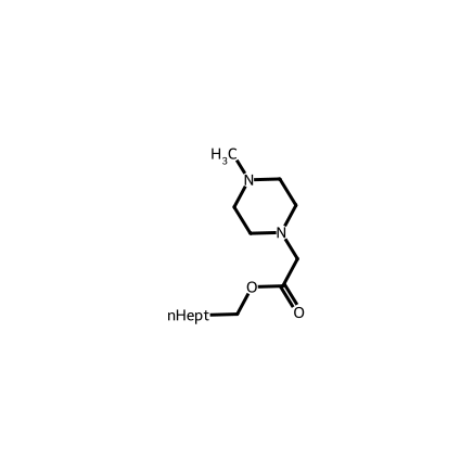 [CH2]CCCCCCCOC(=O)CN1CCN(C)CC1